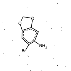 Nc1cc2c(cc1Br)OCO2